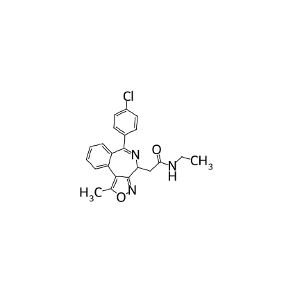 CCNC(=O)CC1N=C(c2ccc(Cl)cc2)c2ccccc2-c2c1noc2C